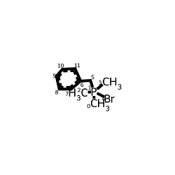 CP(C)(C)(Br)Cc1ccccc1